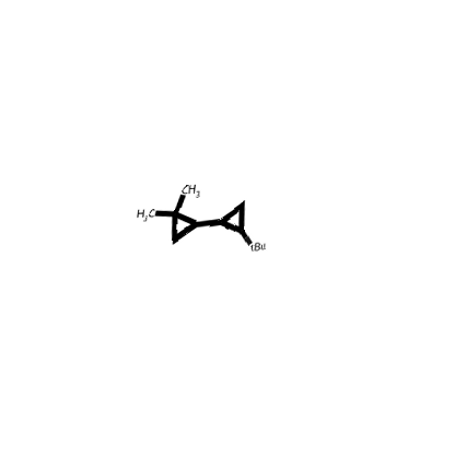 CC(C)(C)C1CC1C1CC1(C)C